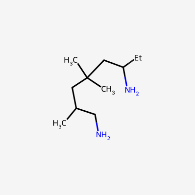 CCC(N)CC(C)(C)CC(C)CN